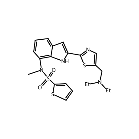 CCN(CC)Cc1cnc(-c2cc3cccc(N(C)S(=O)(=O)c4cccs4)c3[nH]2)s1